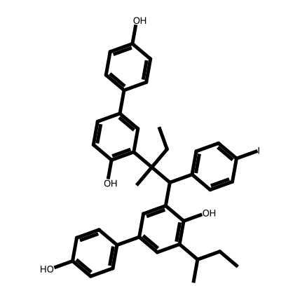 CCC(C)c1cc(-c2ccc(O)cc2)cc(C(c2ccc(I)cc2)C(C)(CC)c2cc(-c3ccc(O)cc3)ccc2O)c1O